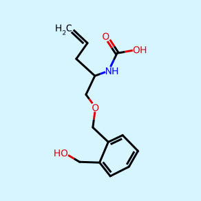 C=CCC(COCc1ccccc1CO)NC(=O)O